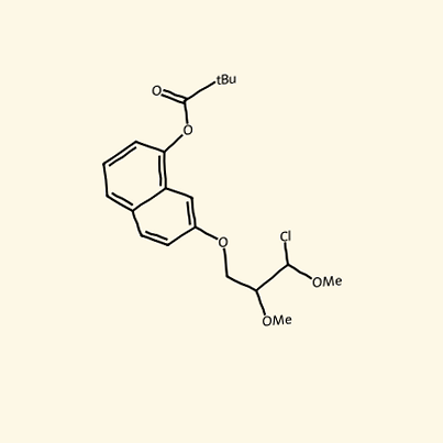 COC(Cl)C(COc1ccc2cccc(OC(=O)C(C)(C)C)c2c1)OC